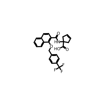 O=C(NC1(C(=O)O)CC=CC1)c1ccc2ccccc2c1OCc1ccc(C(F)(F)F)cc1